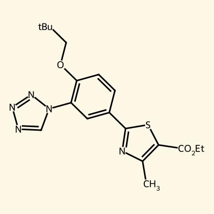 CCOC(=O)c1sc(-c2ccc(OCC(C)(C)C)c(-n3cnnn3)c2)nc1C